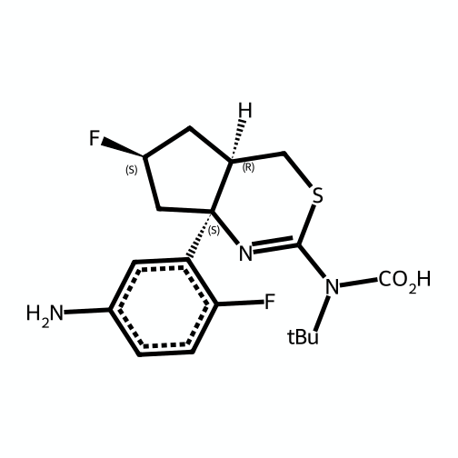 CC(C)(C)N(C(=O)O)C1=N[C@@]2(c3cc(N)ccc3F)C[C@@H](F)C[C@H]2CS1